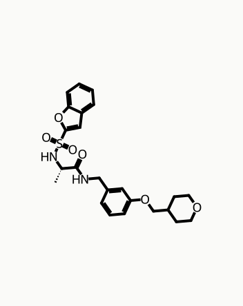 C[C@H](NS(=O)(=O)c1cc2ccccc2o1)C(=O)NCc1cccc(OCC2CCOCC2)c1